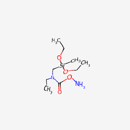 CCO[Si](C)(CN(CC)C(=O)ON)OCC